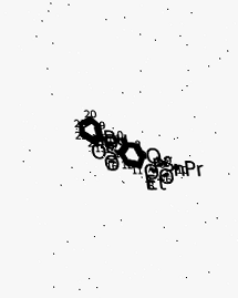 CCCCc1cc(OP(=O)(OCC)SCCC)ccc1S(=O)(=O)Oc1ccccc1